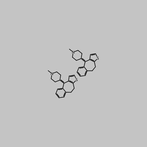 CN1CCC(=C2c3ccccc3CCc3sccc32)CC1.CN1CCC(=C2c3ccccc3CCc3sccc32)CC1